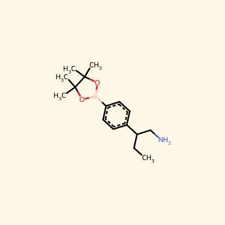 CCC(CN)c1ccc(B2OC(C)(C)C(C)(C)O2)cc1